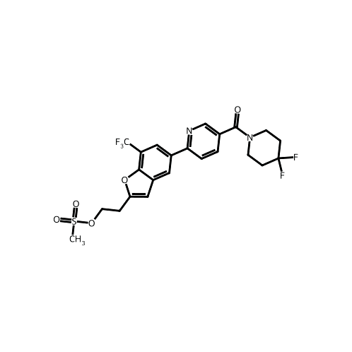 CS(=O)(=O)OCCc1cc2cc(-c3ccc(C(=O)N4CCC(F)(F)CC4)cn3)cc(C(F)(F)F)c2o1